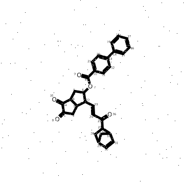 O=C1CC2C(CC(OC(=O)c3ccc(-c4ccccc4)cc3)C2C=CC(=O)C2CC3C=CC2C3)C1=O